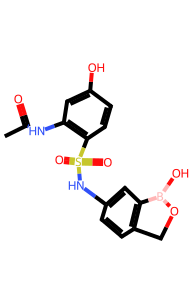 CC(=O)Nc1cc(O)ccc1S(=O)(=O)Nc1ccc2c(c1)B(O)OC2